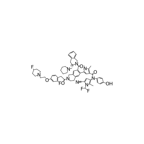 Cc1c(C(=O)N(c2ccc(O)cc2)c2cc(C#N)n(C(F)F)c2C)cc(-c2cc3c(cc2C(=O)N2Cc4ccccc4C[C@H]2CN2CCCCC2)CN(C(=O)Cc2ccc(OCCN4CCC(F)CC4)cc2F)CC3)n1C